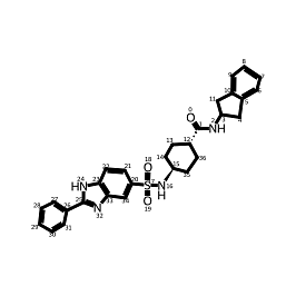 O=C(NC1Cc2ccccc2C1)[C@H]1CC[C@H](NS(=O)(=O)c2ccc3[nH]c(-c4ccccc4)nc3c2)CC1